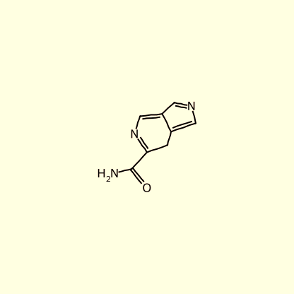 NC(=O)C1=NC=C2C=NC=C2C1